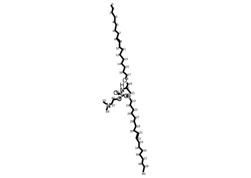 CCCCCCCCC=CCCCCCCCCOCC(COCCCCCCCCC=CCCCCCCCC)NS(=O)(=O)OCCN(C)C